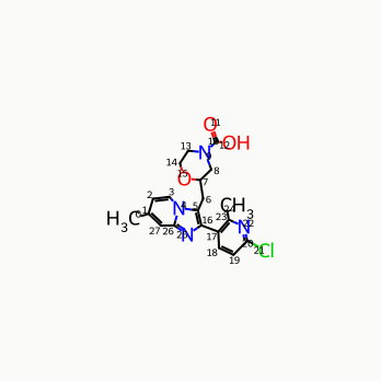 Cc1ccn2c(CC3CN(C(=O)O)CCO3)c(-c3ccc(Cl)nc3C)nc2c1